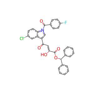 O=C(OC(c1ccccc1)c1ccccc1)/C(O)=C/C(=O)c1cn(C(=O)c2ccc(F)cc2)c2ccc(Cl)cc12